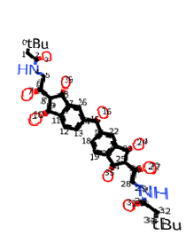 CC(C)(C)CC(=O)NCC(=O)C1C(=O)c2ccc(C(=O)c3ccc4c(c3)C(=O)C(C(=O)CNC(=O)CC(C)(C)C)C4=O)cc2C1=O